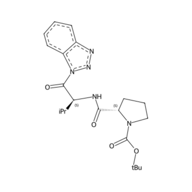 CC(C)[C@H](NC(=O)[C@@H]1CCCN1C(=O)OC(C)(C)C)C(=O)n1nnc2ccccc21